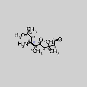 C/C(C(=O)CC(C)(C)CC=O)=C(\N)CC(C)C